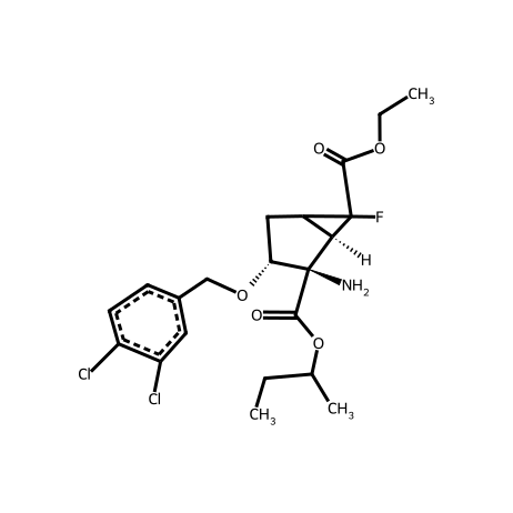 CCOC(=O)C1(F)C2C[C@@H](OCc3ccc(Cl)c(Cl)c3)[C@@](N)(C(=O)OC(C)CC)[C@@H]21